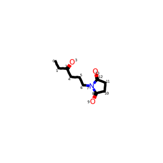 CCC(=O)CCCN1C(=O)CCC1=O